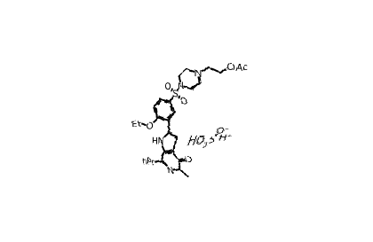 CCCC1=NC(C)C(=O)C2=C1NC(c1cc(S(=O)(=O)N3CCN(CCOC(C)=O)CC3)ccc1OCC)C2.O=S(=O)([O-])O.[H+]